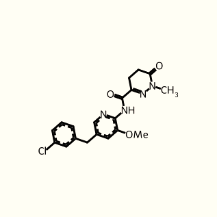 COc1cc(Cc2cccc(Cl)c2)cnc1NC(=O)C1=NN(C)C(=O)CC1